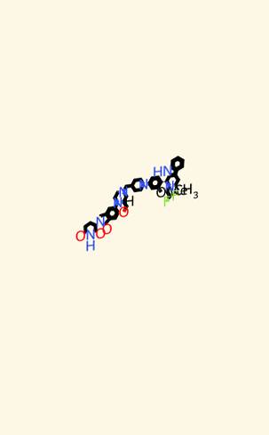 COc1cc(N2CCC(CN3CCN4c5cc6c(cc5OC[C@@H]4C3)C(=O)N([C@H]3CCC(=O)NC3=O)C6)CC2)ccc1[C@@H]1c2[nH]c3ccccc3c2C[C@@H](C)N1CC(F)F